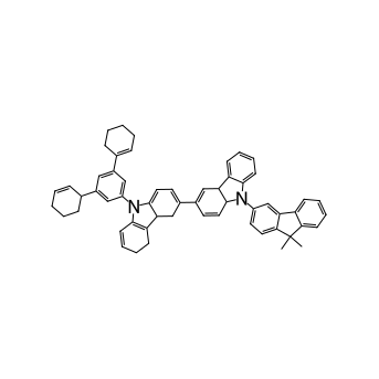 CC1(C)c2ccccc2-c2cc(N3c4ccccc4C4C=C(C5=CC=C6C(C5)C5=C(C=CCC5)N6c5cc(C6=CCCCC6)cc(C6C=CCCC6)c5)C=CC43)ccc21